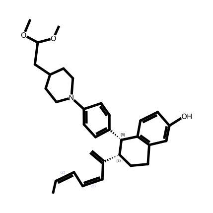 C=C(/C=C\C=C/C)[C@H]1CCc2cc(O)ccc2[C@H]1c1ccc(N2CCC(CC(OC)OC)CC2)cc1